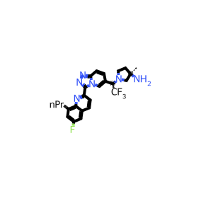 CCCc1cc(F)cc2ccc(-c3nnc4ccc([C@@H](N5CC[C@@](C)(N)C5)C(F)(F)F)cn34)nc12